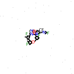 Cc1cc2cc(c1F)C(CC(=O)O)NC(=O)C(n1cc(CCN3CC(F)C3)c(C(F)(F)F)cc1=O)c1cc(ccc1F)COc1ccc(F)c(C)c1-2